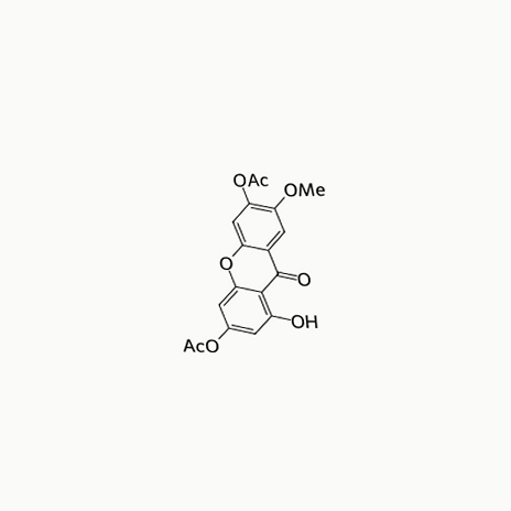 COc1cc2c(=O)c3c(O)cc(OC(C)=O)cc3oc2cc1OC(C)=O